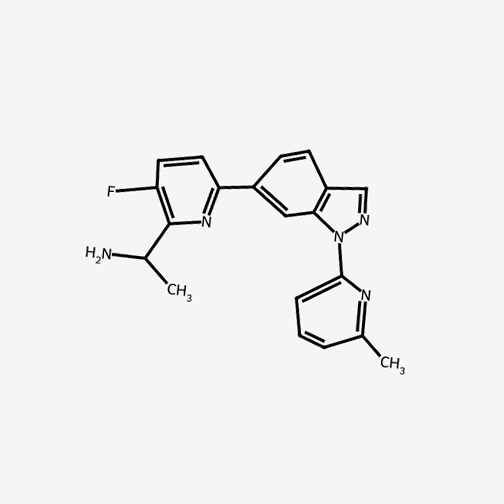 Cc1cccc(-n2ncc3ccc(-c4ccc(F)c(C(C)N)n4)cc32)n1